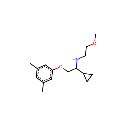 COCCNC(COc1cc(C)cc(C)c1)C1CC1